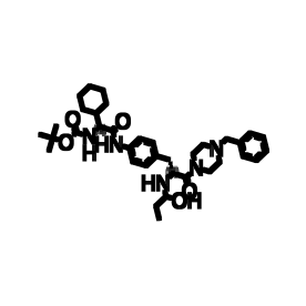 CCC(O)N[C@H](Cc1ccc(NC(=O)[C@@H](NC(=O)OC(C)(C)C)C2CCCCC2)cc1)C(=O)N1CCN(Cc2ccccc2)CC1